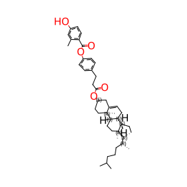 Cc1cc(O)ccc1C(=O)Oc1ccc(CCC(=O)O[C@H]2CC[C@@]3(C)C(=CC[C@H]4[C@@H]5CC[C@H]([C@H](C)CCCC(C)C)[C@@]5(C)CC[C@@H]43)C2)cc1